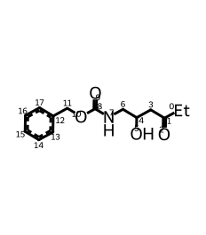 CCC(=O)CC(O)CNC(=O)OCc1ccccc1